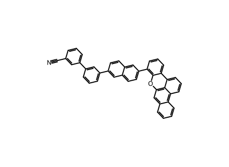 N#Cc1cccc(-c2cccc(-c3ccc4cc(-c5cccc6c5Oc5cc7ccccc7c7cccc-6c57)ccc4c3)c2)c1